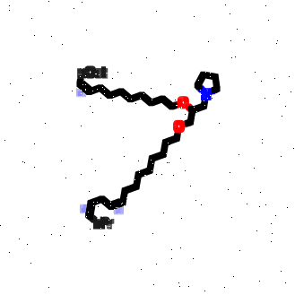 CCC/C=C\C/C=C\CCCCCCCCOCC(CN1CCCC1)OCCCCCCCC/C=C\CCCCCCCC